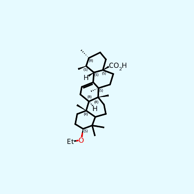 CCO[C@H]1CC[C@@]2(C)C(CC[C@]3(C)[C@@H]2CC=C2[C@@H]4[C@@H](C)[C@H](C)CC[C@]4(C(=O)O)CC[C@]23C)C1(C)C